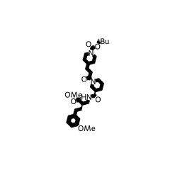 COC(=O)[C@H](CCc1cccc(OC)c1)CNC(=O)[C@@H]1CCCN(C(=O)CCC2CCN(C(=O)OC(C)(C)C)CC2)C1